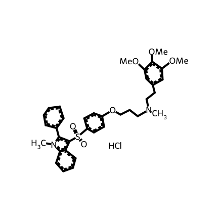 COc1cc(CCN(C)CCCOc2ccc(S(=O)(=O)c3c(-c4ccccc4)n(C)c4ccccc34)cc2)cc(OC)c1OC.Cl